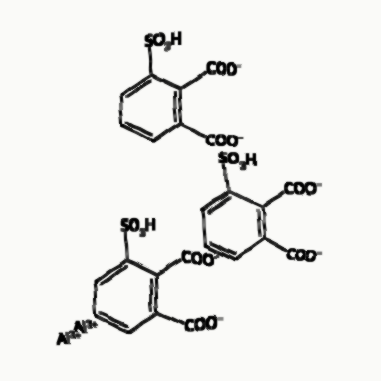 O=C([O-])c1cccc(S(=O)(=O)O)c1C(=O)[O-].O=C([O-])c1cccc(S(=O)(=O)O)c1C(=O)[O-].O=C([O-])c1cccc(S(=O)(=O)O)c1C(=O)[O-].[Al+3].[Al+3]